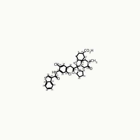 CN1CCN(C(OC2CCC(C(=O)O)CC2)(C(=O)Cc2cc(Cl)c(NC(=O)c3csc4ccccc34)cc2Cl)N2CCCC2)CC1=O